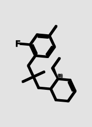 CC[C@H]1C=CCCC1CC(C)(C)Cc1ccc(C)cc1F